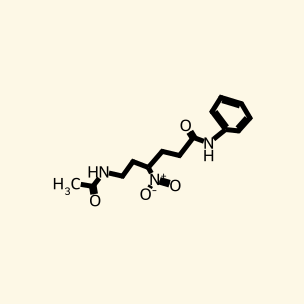 CC(=O)NCCC(CCC(=O)Nc1ccccc1)[N+](=O)[O-]